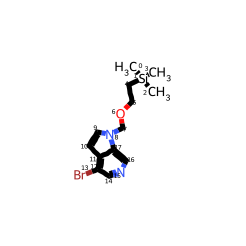 C[Si](C)(C)CCOCn1ccc2c(Br)cncc21